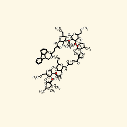 COCC1OC(NC(=O)CNC(=O)c2cn([C@@H]3C(C)O[C@@H](O[C@H]4C(COC)O[C@@H](O[C@H]5C(COC)OC(NC(=O)CCC(=O)OCC6c7ccccc7-c7ccccc76)C(OC)[C@@H]5OC)C(OC)[C@@H]4OC)C(OC)[C@@H]3OC)nn2)C(OC)[C@H](OC)[C@H]1O[C@@H]1OC(COC)[C@H](O[C@@H]2OC(C)[C@@H](C)[C@@H](OC)C2OC)[C@@H](OC)C1OC